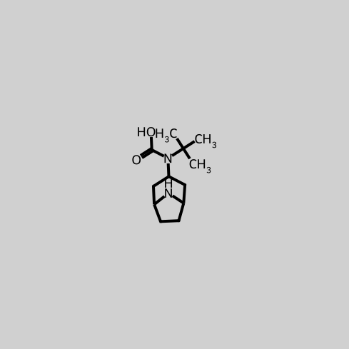 CC(C)(C)N(C(=O)O)C1CC2CCC(C1)N2